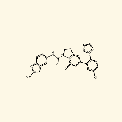 O=C(O)c1cc2cc(NC(=O)[C@@H]3CCc4cc(-c5cc(Cl)ccc5-n5cnnn5)cc(=O)n43)ccc2o1